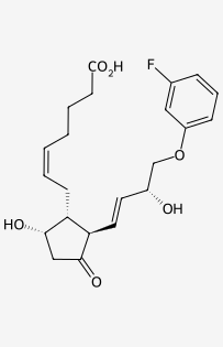 O=C(O)CCC/C=C\C[C@H]1[C@@H](O)CC(=O)[C@@H]1/C=C/[C@@H](O)COc1cccc(F)c1